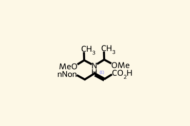 CCCCCCCCCC/C=C/C(=O)O.COC(C)NC(C)OC